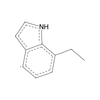 CCc1cc[c]c2cc[nH]c12